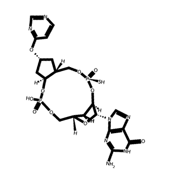 Nc1nc2c(ncn2[C@@H]2O[C@@H]3COP(=O)(O)O[C@H]4C[C@H](Oc5ccncn5)C[C@@H]4CO[P@@](=O)(S)O[C@@H]2[C@@H]3O)c(=O)[nH]1